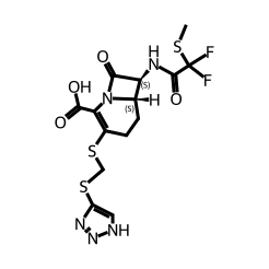 CSC(F)(F)C(=O)N[C@@H]1C(=O)N2C(C(=O)O)=C(SCSc3c[nH]nn3)CC[C@@H]12